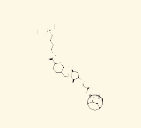 CN(C)CCCCNC(=O)C1CCC(CN2C(=O)CC(SCC(=O)NNC3C4CCCCCC(CC4)C3C=O)C2=O)CC1